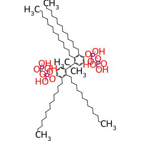 CCCCCCCCCCCCCc1c(OP(=O)(O)OP(=O)(O)O)ccc(C(C)(C)c2ccc(OP(=O)(O)OP(=O)(O)O)c(CCCCCCCCCCCCC)c2CCCCCCCCCCCCC)c1CCCCCCCCCCCCC